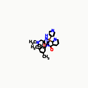 Cc1cc(C)cc(NC(=O)c2cccnc2S(C)(NC(=O)CN(C)C)c2ccncc2)c1